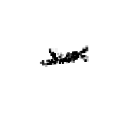 CCCCCC(CCCC)OC(=O)CCCc1nc2cc(N(CCCl)CCCl)ccc2n1C